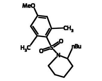 CCCCC1CCCCN1S(=O)(=O)c1c(C)cc(OC)cc1C